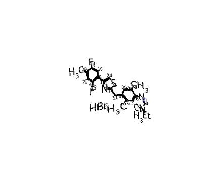 Br.CCN(C)/C=N\c1cc(C)c(Cc2nc(-c3cc(F)c(C)cc3F)cs2)cc1C